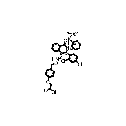 C[S+]([O-])N[C@H]1CCCC[C@@H]1N1C(=O)c2ccccc2[C@@H](CNOCc2ccc(OCC(=O)O)cc2)[C@@H]1c1ccc(Cl)cc1Cl